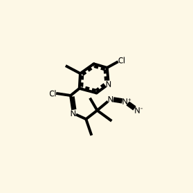 Cc1cc(Cl)ncc1/C(Cl)=N\C(C)C(C)(C)N=[N+]=[N-]